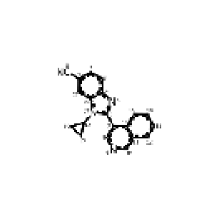 N#Cc1ccc2nc(-c3cncc4ccccc34)n(C3CC3)c2c1